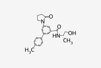 Cc1ccc(-c2cc(C(=O)N[C@@H](C)CO)cc(N3CCCC3=O)c2)cc1